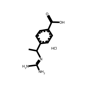 CC(N=C(N)N)c1ccc(C(=O)O)cc1.Cl